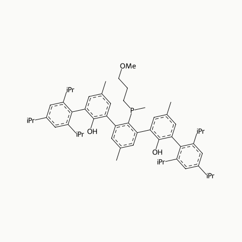 COCCCP(C)c1c(-c2cc(C)cc(-c3c(C(C)C)cc(C(C)C)cc3C(C)C)c2O)cc(C)cc1-c1cc(C)cc(-c2c(C(C)C)cc(C(C)C)cc2C(C)C)c1O